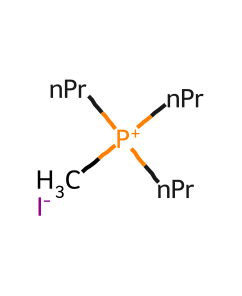 CCC[P+](C)(CCC)CCC.[I-]